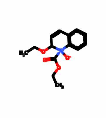 CCOC(=O)[N+]1([O-])c2ccccc2C=CC1OCC